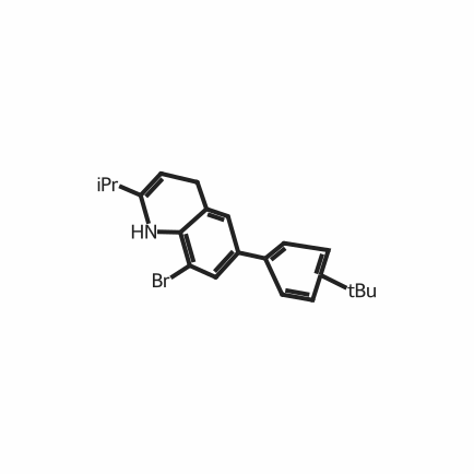 CC(C)C1=CCc2cc(-c3ccc(C(C)(C)C)cc3)cc(Br)c2N1